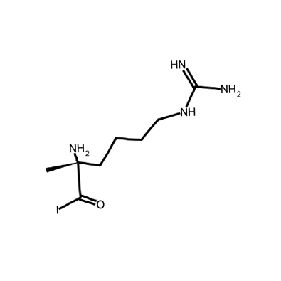 C[C@@](N)(CCCCNC(=N)N)C(=O)I